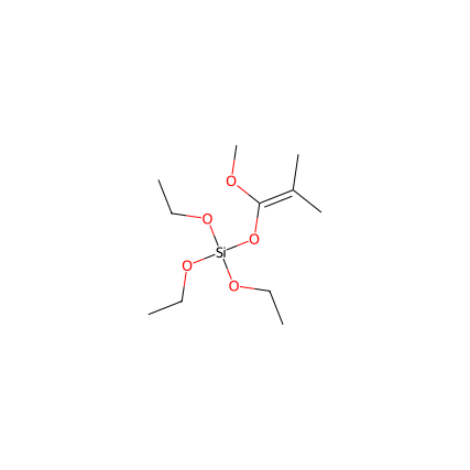 CCO[Si](OCC)(OCC)OC(OC)=C(C)C